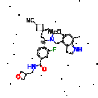 COc1cc(C)c2[nH]ccc2c1CN1CCC2(CC(C#N)C2)C[C@H]1c1ccc(C(=O)NCC2COC2)cc1F